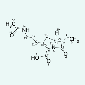 CC[C@@H]1C(=O)N2C(C(=O)O)=C(SCCNC(C)=O)C[C@@H]12